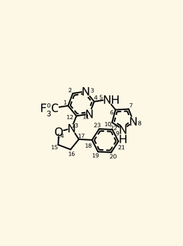 FC(F)(F)c1cnc(Nc2cn[nH]c2)nc1N1OCCC1c1ccccc1